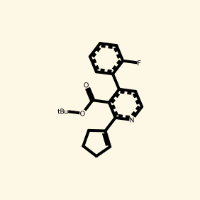 CC(C)(C)OC(=O)c1c(-c2ccccc2F)ccnc1C1=CCCC1